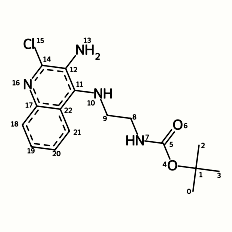 CC(C)(C)OC(=O)NCCNc1c(N)c(Cl)nc2ccccc12